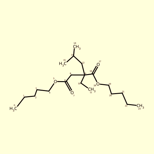 CCCCCOC(=O)CC(CC)(CC(C)C)C(=O)OCCCCC